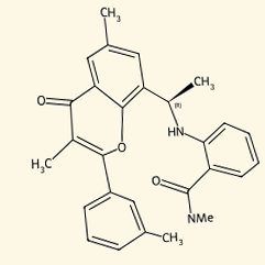 CNC(=O)c1ccccc1N[C@H](C)c1cc(C)cc2c(=O)c(C)c(-c3cccc(C)c3)oc12